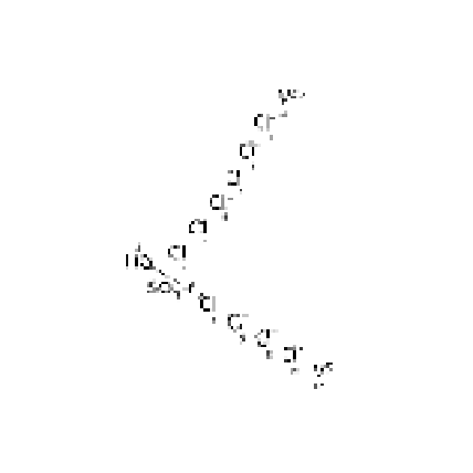 O=S(=O)(O)O.[Cl-].[Cl-].[Cl-].[Cl-].[Cl-].[Cl-].[Cl-].[Cl-].[Cl-].[Cl-].[V+5].[V+5]